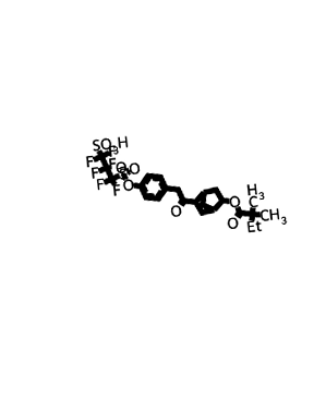 CCC(C)(C)C(=O)OC1CC2CC1CC2C(=O)Cc1ccc(OS(=O)(=O)C(F)(F)C(F)(F)C(F)(F)S(=O)(=O)O)cc1